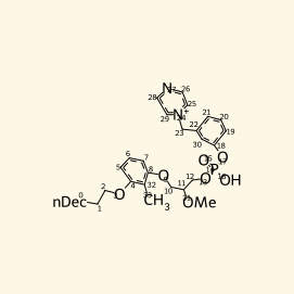 CCCCCCCCCCCCOc1cccc(OCC(COP(=O)(O)Oc2cccc(C[n+]3ccncc3)c2)OC)c1C